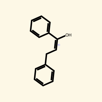 O/C(=C/Cc1ccccc1)c1ccccc1